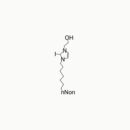 CCCCCCCCCCCCCCCCN1C=CN(CCO)C1I